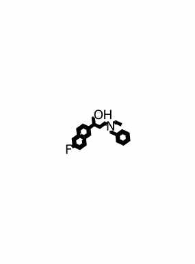 CCN(CCC(CO)c1ccc2cc(F)ccc2c1)Cc1ccccc1